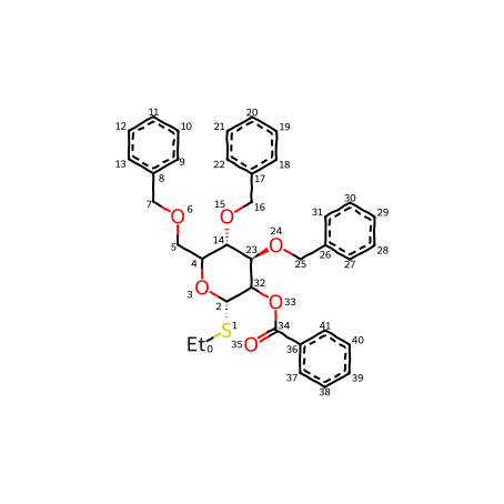 CCS[C@@H]1OC(COCc2ccccc2)[C@H](OCc2ccccc2)[C@@H](OCc2ccccc2)C1OC(=O)c1ccccc1